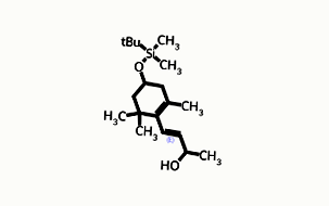 CC1=C(/C=C/C(C)O)C(C)(C)CC(O[Si](C)(C)C(C)(C)C)C1